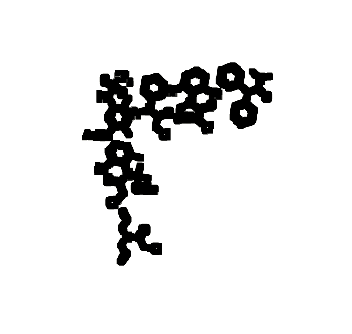 C=CCN(CC=C)C(=O)CCl.CC(=O)Nc1cc(NS(=O)(=O)C(F)(F)F)c(C)cc1C.CC(C)N(C(=O)CCl)c1ccccc1.CCc1cccc(C)c1N(C(=O)CCl)C(C)(C)OC.CCc1cccc(CC)c1N(COC)C(=O)CCl.CN(C)C(=O)C(c1ccccc1)c1ccccc1